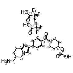 NCC1CCc2nc(-c3ccc(C(=O)N4CCC(OC(=O)O)CC4)cc3)cn2C1.O=C(O)C(F)(F)F.O=C(O)C(F)(F)F